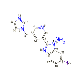 Nn1c(-c2cncc(Cn3ccnc3)c2)nc2ccc(I)cc21